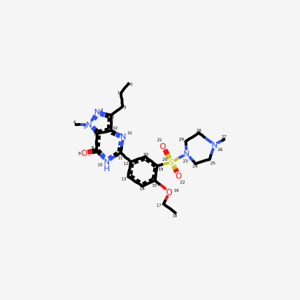 CCCc1nn(C)c2c(=O)[nH]c(-c3ccc(OCC)c(S(=O)(=O)N4CCN(C)CC4)c3)nc12